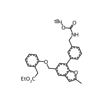 CCOC(=O)Cc1ccccc1OCc1cc(-c2cccc(CNC(=O)OC(C)(C)C)c2)c2oc(C)cc2c1